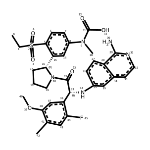 CCS(=O)(=O)c1ccc(N(C)C(=O)O)cc1[C@H]1CCCN1C(=O)[C@H](Nc1ccc2c(N)nccc2c1)c1cc(OC)c(C)cc1F